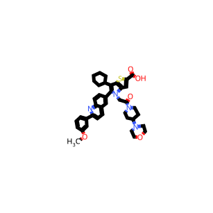 COc1cccc(-c2ccc3cc(-c4c(C5CCCCC5)c5sc(C(=O)O)cc5n4CC(=O)N4CCC(N5CCOCC5)CC4)ccc3n2)c1